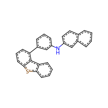 c1cc(Nc2ccc3ccccc3c2)cc(-c2cccc3sc4ccccc4c23)c1